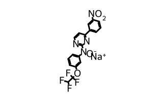 O=[N+]([O-])c1cccc(-c2ccnc(N([O-])c3cccc(OC(F)(F)C(F)F)c3)n2)c1.[Na+]